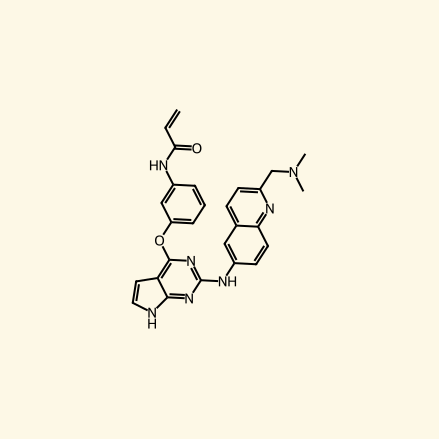 C=CC(=O)Nc1cccc(Oc2nc(Nc3ccc4nc(CN(C)C)ccc4c3)nc3[nH]ccc23)c1